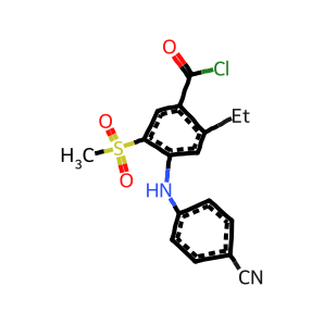 CCc1cc(Nc2ccc(C#N)cc2)c(S(C)(=O)=O)cc1C(=O)Cl